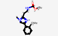 COc1ccccc1-c1cn(C)c(CCNC(=O)OC(C)(C)C)n1